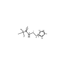 CC(C)(C)C(=O)NCCn1cccc1